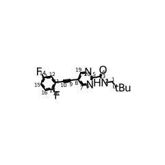 CC(C)(C)CNC(=O)c1ncc(C#Cc2cc(F)ccc2F)cn1